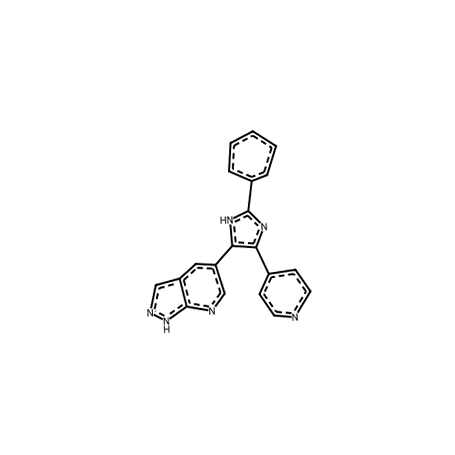 c1ccc(-c2nc(-c3ccncc3)c(-c3cnc4[nH]ncc4c3)[nH]2)cc1